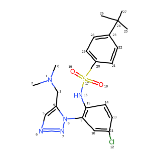 CN(C)Cc1cnnn1-c1cc(Cl)ccc1NS(=O)(=O)c1ccc(C(C)(C)C)cc1